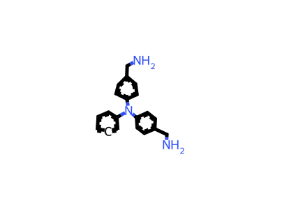 NCc1ccc(N(c2ccccc2)c2ccc(CN)cc2)cc1